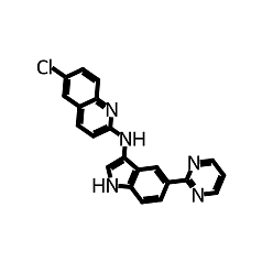 Clc1ccc2nc(Nc3c[nH]c4ccc(-c5ncccn5)cc34)ccc2c1